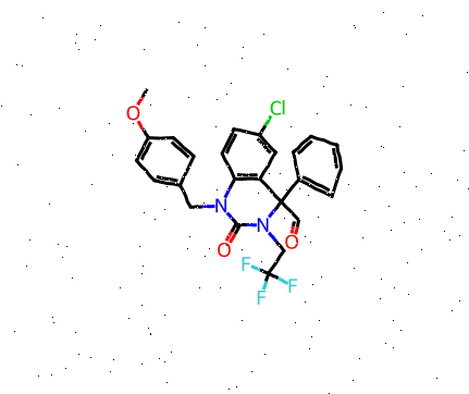 COc1ccc(CN2C(=O)N(CC(F)(F)F)C(C=O)(c3ccccc3)c3cc(Cl)ccc32)cc1